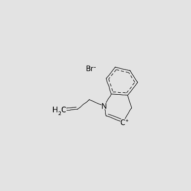 C=CCN1C=[C+]Cc2ccccc21.[Br-]